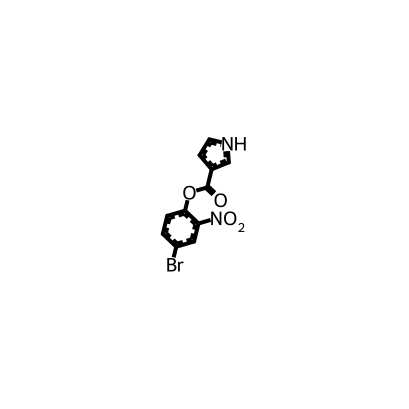 O=C(Oc1ccc(Br)cc1[N+](=O)[O-])c1cc[nH]c1